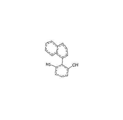 Oc1cccc(S)c1-c1cccc2ccccc12